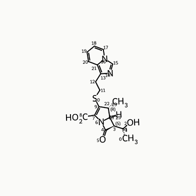 C[C@@H](O)[C@H]1C(=O)N2C(C(=O)O)=C(SCCc3ncn4ccccc34)[C@H](C)[C@H]12